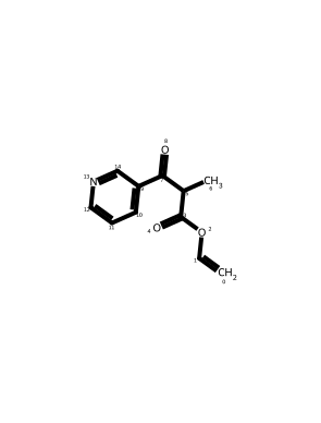 C=COC(=O)C(C)C(=O)c1cccnc1